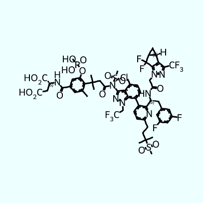 Cc1cc(C(=O)N[C@@H](CC(=O)O)C(=O)O)cc(OP(=O)(O)O)c1C(C)(C)CC(=O)N(c1nn(CC(F)(F)F)c2c(-c3ccc(CCC(C)(C)S(C)(=O)=O)nc3[C@H](Cc3cc(F)cc(F)c3)NC(=O)Cn3nc(C(F)(F)F)c4c3C(F)(F)C3C[C@H]43)ccc(Cl)c12)S(C)(=O)=O